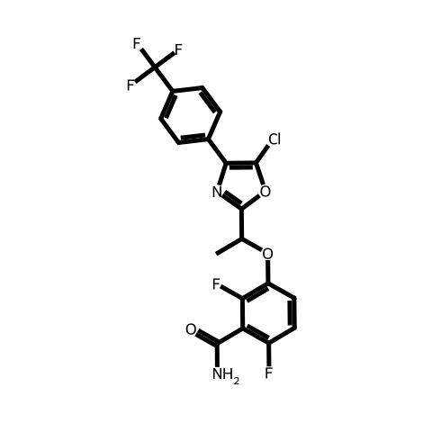 CC(Oc1ccc(F)c(C(N)=O)c1F)c1nc(-c2ccc(C(F)(F)F)cc2)c(Cl)o1